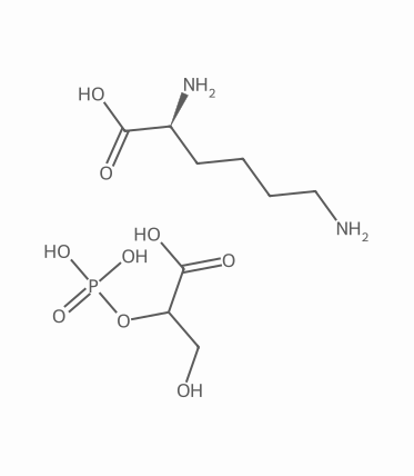 NCCCC[C@H](N)C(=O)O.O=C(O)C(CO)OP(=O)(O)O